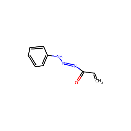 C=CC(=O)N=NNc1ccccc1